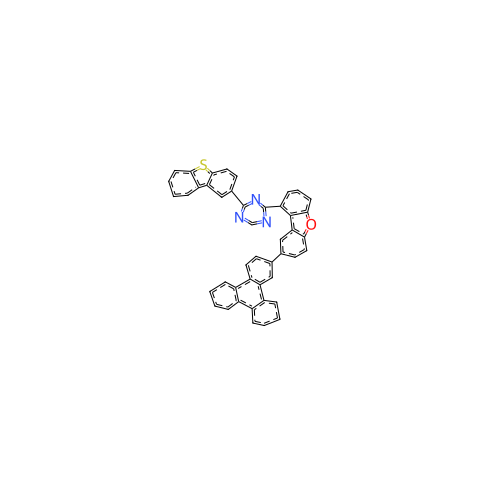 c1cc(-c2ncnc(-c3ccc4sc5ccccc5c4c3)n2)c2c(c1)oc1ccc(-c3ccc4c5ccccc5c5ccccc5c4c3)cc12